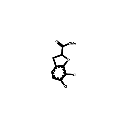 COC(=O)C1Cc2ccc(Cl)c(Cl)c2O1